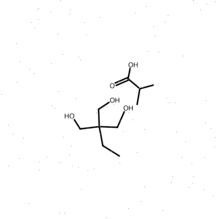 CC(C)C(=O)O.CCC(CO)(CO)CO